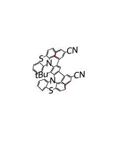 CC(C)(C)c1c(N2c3ccccc3Sc3ccccc32)c(-c2cccc(C#N)c2)cc(-c2cccc(C#N)c2)c1N1c2ccccc2Sc2ccccc21